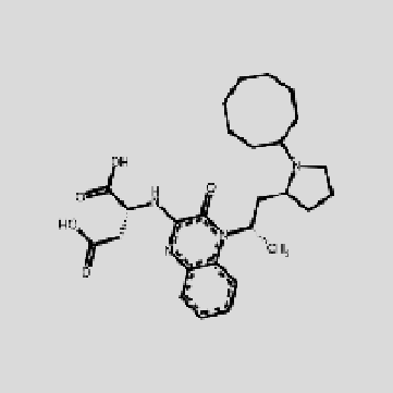 C[C@@H](C[C@@H]1CCCN1C1CCCCCCC1)n1c(=O)c(N[C@H](CC(=O)O)C(=O)O)nc2ccccc21